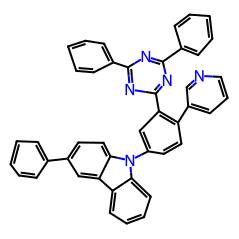 c1ccc(-c2ccc3c(c2)c2ccccc2n3-c2ccc(-c3cccnc3)c(-c3nc(-c4ccccc4)nc(-c4ccccc4)n3)c2)cc1